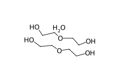 O.OCCOCCO.OCCOCCO